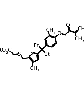 C=C(C)C(=O)COc1ccc(C(CC)(CC)c2cc(C)c(CSCC(=O)OCC)s2)cc1C